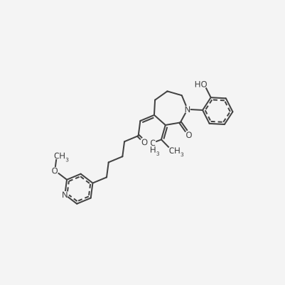 COc1cc(CCCCC(=O)/C=C2/CCCN(c3ccccc3O)C(=O)C2=C(C)C)ccn1